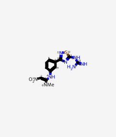 CNC(=C[N+](=O)[O-])Nc1cccc(-c2nsc(NC(=N)N)n2)c1